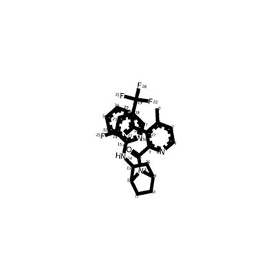 Cc1ccnc(C(=O)N2C3CCC2C(Nc2ncc(C(F)(F)F)cc2F)C3)c1-c1ncccn1